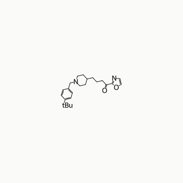 CC(C)(C)c1ccc(CN2CCC(CCCC(=O)c3ncco3)CC2)cc1